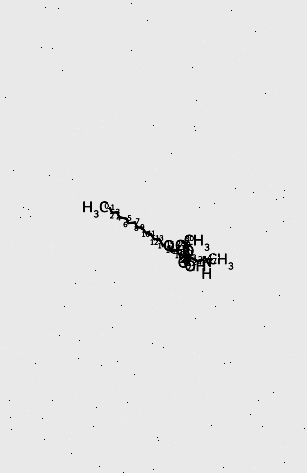 CCCCCCCCCCCCCCCOCC(COP(=O)(O)CCCNC)OC(C)=O